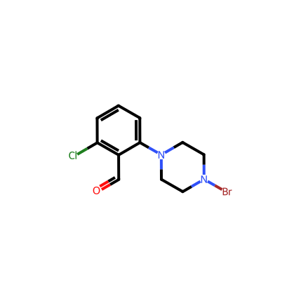 O=Cc1c(Cl)cccc1N1CCN(Br)CC1